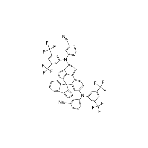 N#Cc1cccc(N(c2cc(C(F)(F)F)cc(C(F)(F)F)c2)c2ccc3c(c2)C2(c4ccccc4-c4ccccc42)c2cccc4c(N(c5cccc(C#N)c5)c5cc(C(F)(F)F)cc(C(F)(F)F)c5)ccc-3c24)c1